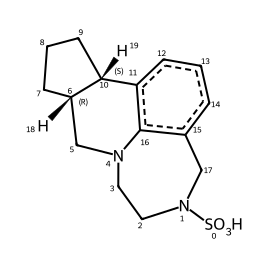 O=S(=O)(O)N1CCN2C[C@@H]3CCC[C@@H]3c3cccc(c32)C1